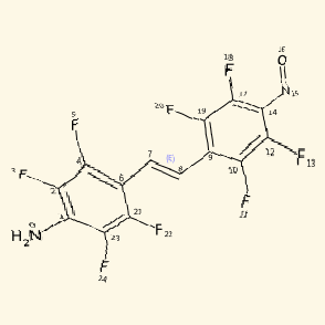 Nc1c(F)c(F)c(/C=C/c2c(F)c(F)c(N=O)c(F)c2F)c(F)c1F